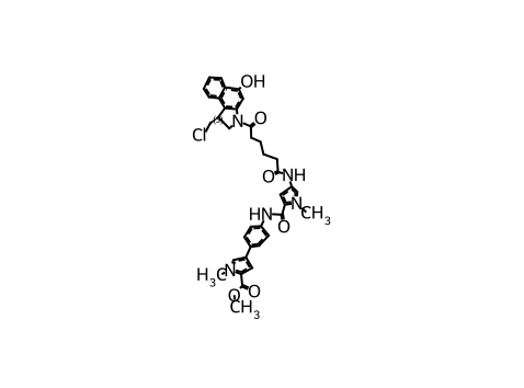 COC(=O)c1cc(-c2ccc(NC(=O)c3cc(NC(=O)CCCCC(=O)N4C[C@@H](CCl)c5c4cc(O)c4ccccc54)cn3C)cc2)cn1C